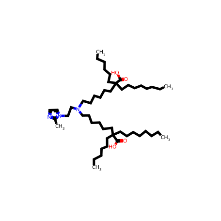 CCCCCCCCC(CCCCCC)(CCCCCCN(CCCCCCC(CCCCCC)(CCCCCCCC)C(=O)O)CCn1ccnc1C)C(=O)O